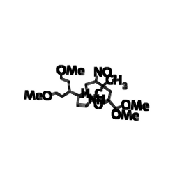 COCCC(CCOC)c1cc[nH]c1CC([N+](=O)[O-])C(C)(C)CC(=O)C(OC)OC